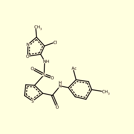 CC(=O)c1cc(C)ccc1NC(=O)c1sccc1S(=O)(=O)Nc1onc(C)c1Cl